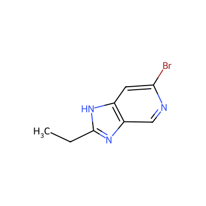 CCc1nc2cnc(Br)cc2[nH]1